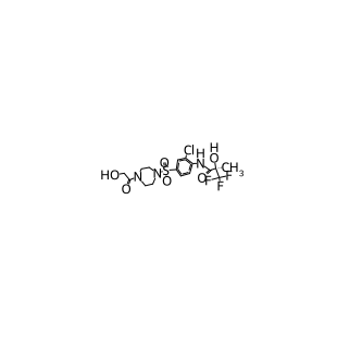 C[C@@](O)(C(=O)Nc1ccc(S(=O)(=O)N2CCN(C(=O)CO)CC2)cc1Cl)C(F)(F)F